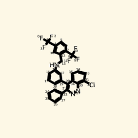 FC(F)(F)c1ccc(C(F)(F)F)c(CNc2cccc(-c3c(-c4ccccc4)nnc4c(Cl)cccc34)c2)c1